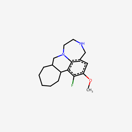 COc1cc2c3c(c1F)C1CCCCCC1CN3CCNC2